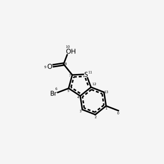 Cc1ccc2c(Br)c(C(=O)O)sc2c1